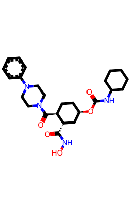 O=C(NC1CCCCC1)O[C@@H]1CC[C@H](C(=O)N2CCN(c3ccccc3)CC2)[C@@H](C(=O)NO)C1